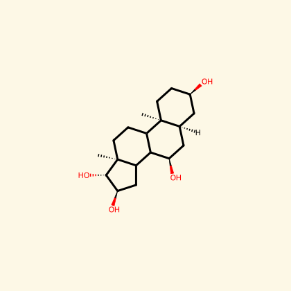 C[C@]12CCC3C(C1C[C@@H](O)[C@@H]2O)[C@H](O)C[C@@H]1C[C@H](O)CC[C@]31C